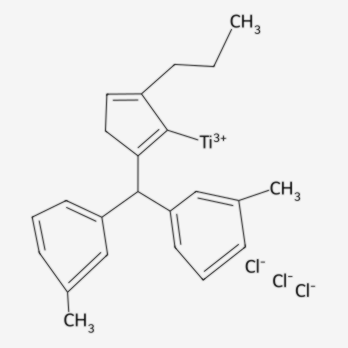 CCCC1=CCC(C(c2cccc(C)c2)c2cccc(C)c2)=[C]1[Ti+3].[Cl-].[Cl-].[Cl-]